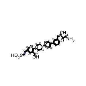 CN(Cc1cccc(-c2cnc(N3CCN(c4ncc(/C=C/C(=O)O)cc4CO)CC3)nc2)c1)C(=O)CN